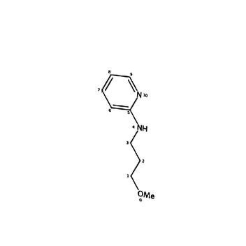 COCCCNc1c[c]ccn1